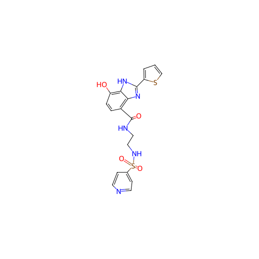 O=C(NCCNS(=O)(=O)c1ccncc1)c1ccc(O)c2[nH]c(-c3cccs3)nc12